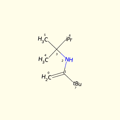 C=C(NC(C)(C)C(C)C)C(C)(C)C